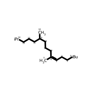 CCC(C)CCC=C(C)CCCC(C)CCCC(C)C